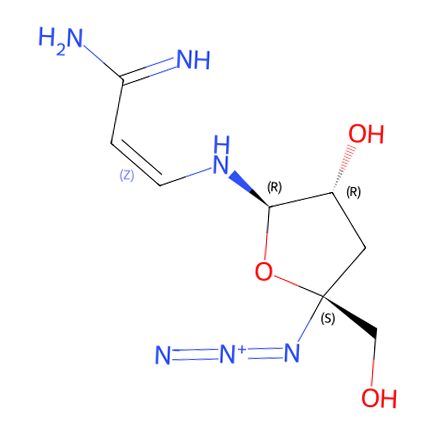 [N-]=[N+]=N[C@@]1(CO)C[C@@H](O)[C@H](N/C=C\C(=N)N)O1